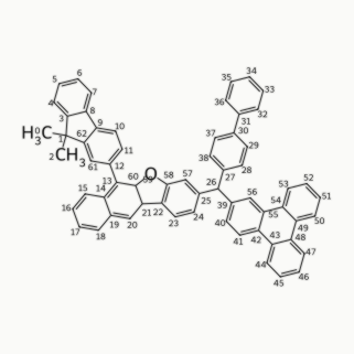 CC1(C)c2ccccc2-c2ccc(C3=c4ccccc4=CC4c5ccc(C(c6ccc(-c7ccccc7)cc6)c6ccc7c8ccccc8c8ccccc8c7c6)cc5OC34)cc21